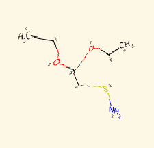 CCOC(CSN)OCC